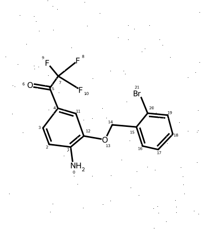 Nc1ccc(C(=O)C(F)(F)F)cc1OCc1ccccc1Br